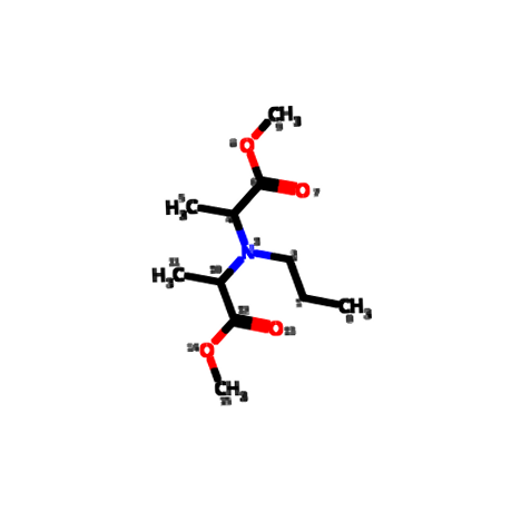 CC[CH]N(C(C)C(=O)OC)C(C)C(=O)OC